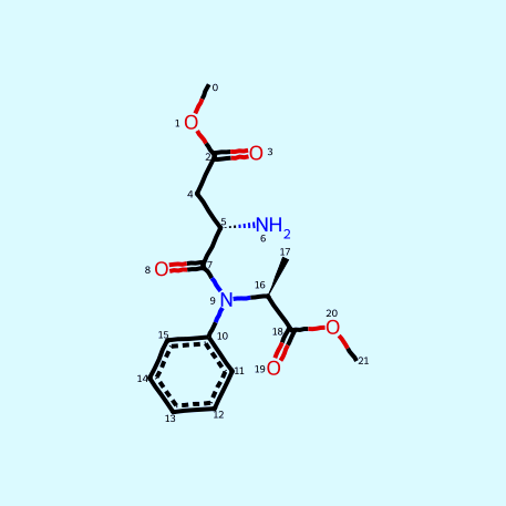 COC(=O)C[C@H](N)C(=O)N(c1ccccc1)[C@@H](C)C(=O)OC